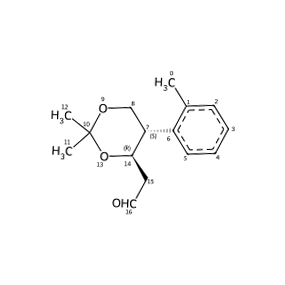 Cc1ccccc1[C@H]1COC(C)(C)O[C@@H]1CC=O